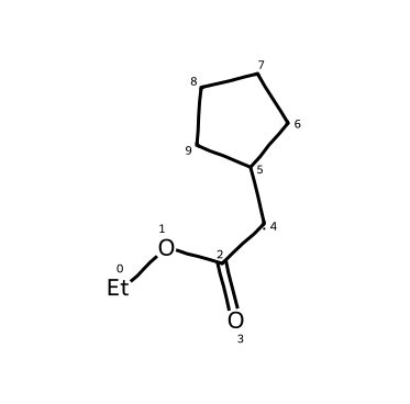 CCOC(=O)[CH]C1CCCC1